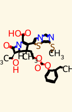 CCc1ccccc1OC(=O)OCC[C@@]1(C)C(c2cn3cnc(SC)c3s2)=C(C(=O)O)N2C(=O)[C@H](C(C)O)[C@@H]21